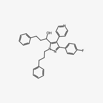 OC(CCc1ccccc1)c1c(-c2ccncc2)c(-c2ccc(F)cc2)nn1CCCc1ccccc1